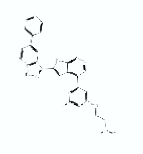 CN(C)CCOc1cc(F)cc(-c2cncc3[nH]c(-c4n[nH]c5ccc(-c6ccncc6)cc45)cc23)c1